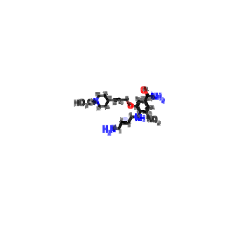 NC/C=C/CNc1c(OCC#CC2CCN(C(=O)O)CC2)cc(C(N)=O)cc1[N+](=O)[O-]